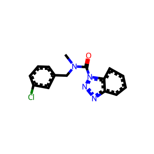 CN(Cc1cccc(Cl)c1)C(=O)n1nnc2ccccc21